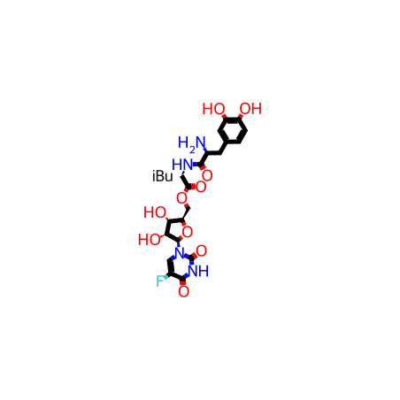 CC[C@H](C)[C@H](NC(=O)[C@@H](N)Cc1ccc(O)c(O)c1)C(=O)OC[C@H]1O[C@@H](n2cc(F)c(=O)[nH]c2=O)[C@H](O)[C@@H]1O